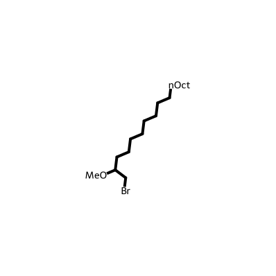 CCCCCCCCCCCCCCCCC(CBr)OC